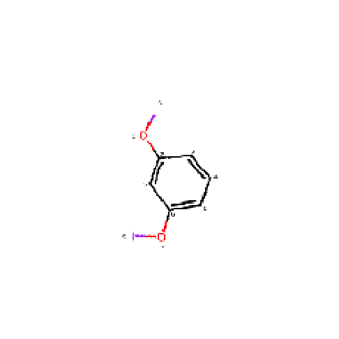 IOc1cccc(OI)c1